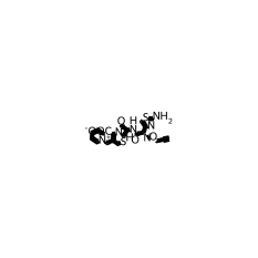 C#CCO/N=C(/C(=O)NC1C(=O)N2C(C(=O)[O-])=C(C[n+]3ccccc3)CS[C@H]12)c1csc(N)n1